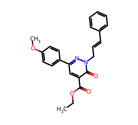 CCOC(=O)c1cc(-c2ccc(OC)cc2)nn(C/C=C/c2ccccc2)c1=O